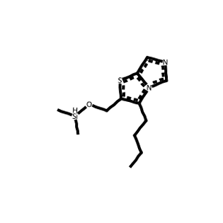 CCCCc1c(CO[SiH](C)C)sc2cncn12